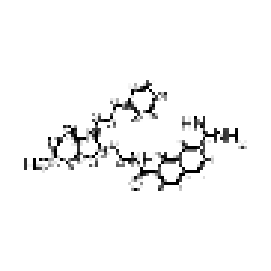 N=C(N)c1ccc2ccc(C(=O)NCC[C@@H]3C[C@@H](CC(=O)O)C(=O)N3CCCc3ccccc3)cc2c1